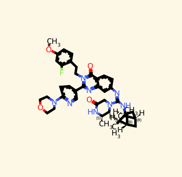 COc1ccc(CCn2c(-c3ccc(N4CCOCC4)nc3)nc3cc(N=C(N[C@H]4C[C@H]5C[C@H]([C@H]4C)C5(C)C)N4CC(=O)N[C@@H](C)C4)ccc3c2=O)c(F)c1